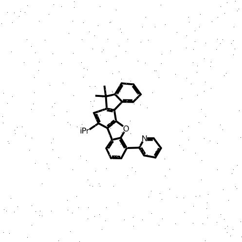 CC(C)c1cc2c(c3oc4c(-c5ccccn5)cccc4c13)-c1ccccc1C2(C)C